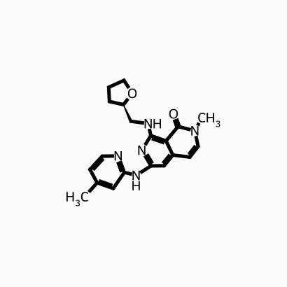 Cc1ccnc(Nc2cc3ccn(C)c(=O)c3c(NC[C@H]3CCCO3)n2)c1